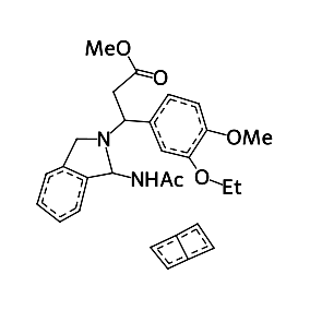 CCOc1cc(C(CC(=O)OC)N2Cc3ccccc3C2NC(C)=O)ccc1OC.c1cc2ccc1-2